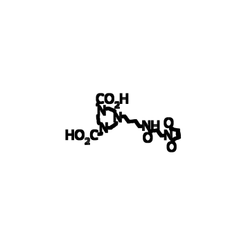 O=C(O)CN1CCN(CCCCNC(=O)CCN2C(=O)C=CC2=O)CCN(CC(=O)O)CC1